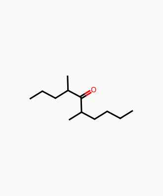 CCCCC(C)C(=O)C(C)CCC